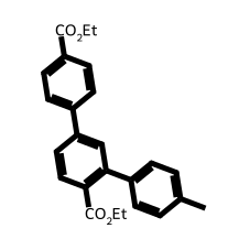 CCOC(=O)c1ccc(-c2ccc(C(=O)OCC)c(-c3ccc(C)cc3)c2)cc1